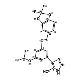 N#Cc1[nH]nnc1-c1cc(OCc2ccc3c(c2)OC(F)(F)O3)cc(OC(F)F)c1